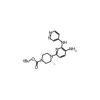 C[C@@H]1CN(C(=O)OC(C)(C)C)CCN1c1ccc(N)c(Nc2ccnnc2)n1